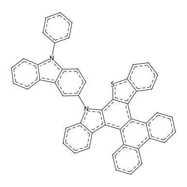 c1ccc(-n2c3ccccc3c3cc(-n4c5ccccc5c5c6c7ccccc7c7ccccc7c6c6c7ccccc7sc6c54)ccc32)cc1